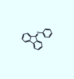 c1ccc(N=C2c3ccccc3-c3ccccc32)cc1